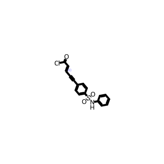 O=C(Cl)/C=C/C#Cc1ccc(S(=O)(=O)Nc2ccccc2)cc1